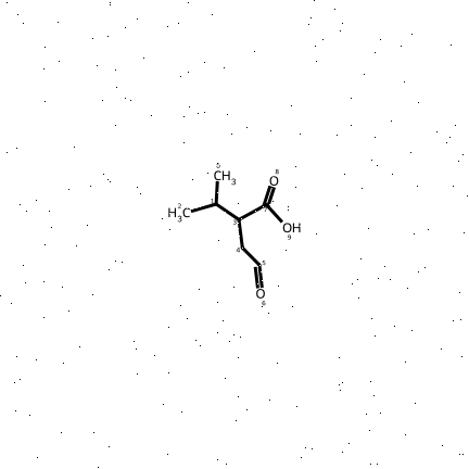 CC(C)C(CC=O)C(=O)O